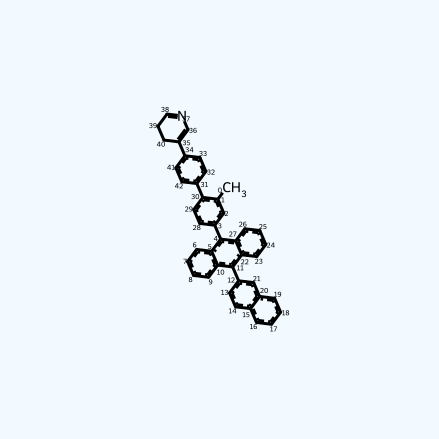 Cc1cc(-c2c3ccccc3c(-c3ccc4ccccc4c3)c3ccccc23)ccc1-c1ccc(C2=CN=CCC2)cc1